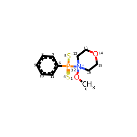 CO[N+]1(P(=S)([S-])c2ccccc2)CCOCC1